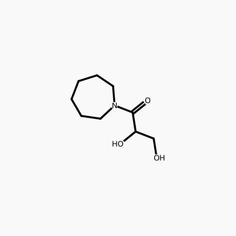 O=C(C(O)CO)N1CCCCCC1